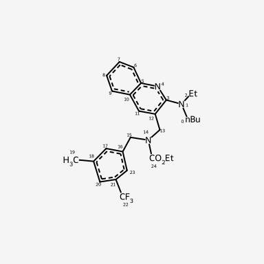 CCCCN(CC)c1nc2ccccc2cc1CN(Cc1cc(C)cc(C(F)(F)F)c1)C(=O)OCC